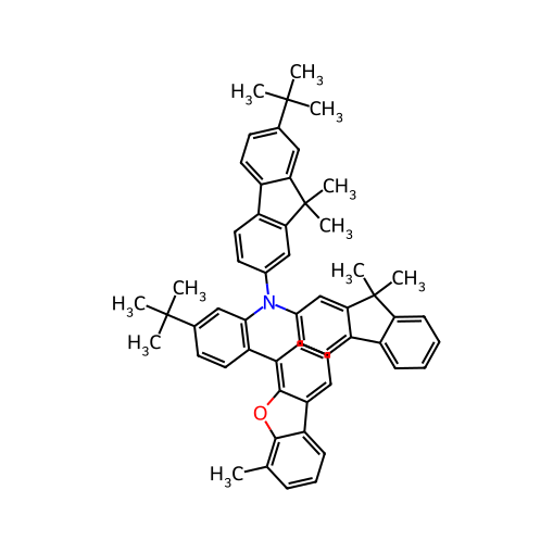 Cc1cccc2c1oc1c(-c3ccc(C(C)(C)C)cc3N(c3ccc4c(c3)C(C)(C)c3ccccc3-4)c3ccc4c(c3)C(C)(C)c3cc(C(C)(C)C)ccc3-4)cccc12